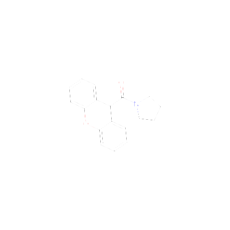 O=C(C1c2ccccc2Oc2ccccc21)N1CCCC1